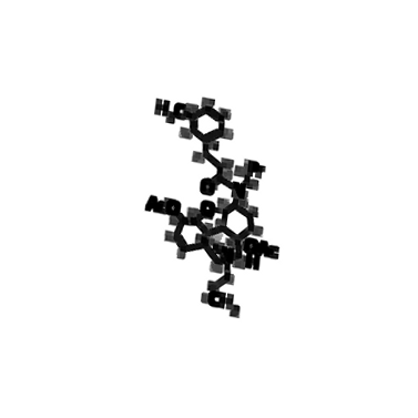 C=CCN1CC[C@]23c4c5ccc(OC(C)=O)c4OC2C(N(CC(C)C)C(=O)CCc2cccc(C)c2)CC[C@@]3(OC(C)=O)[C@H]1C5